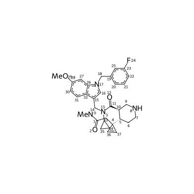 CNC(=O)CC1([C@H]2CCNC[C@@H]2C(=O)N(Cc2cn(Cc3cccc(F)c3)c3cc(OC)ccc23)C2CC2)C=C1